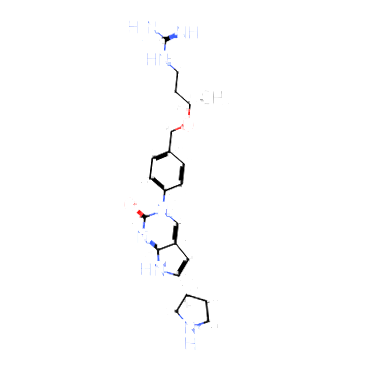 C[C@@H](CCNC(=N)N)OCc1ccc(-n2cc3cc([C@@H]4CCNC4)[nH]c3nc2=O)cc1